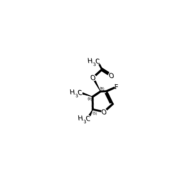 CC(=O)O[C@H]1C(F)=CO[C@@H](C)[C@H]1C